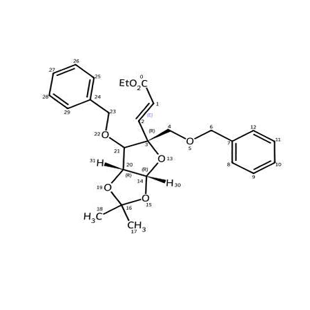 CCOC(=O)/C=C/[C@]1(COCc2ccccc2)O[C@@H]2OC(C)(C)O[C@@H]2C1OCc1ccccc1